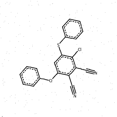 N#Cc1c(Oc2ccccc2)cc(Sc2ccccc2)c(Cl)c1C#N